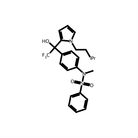 CC(C)CCn1cccc1C(O)(c1ccc(N(C)S(=O)(=O)c2ccccc2)cc1)C(F)(F)F